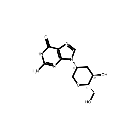 Nc1nc2c(ncn2[C@H]2CO[C@@H](CO)[C@H](O)C2)c(=O)[nH]1